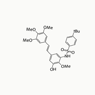 COc1cc(C=Cc2cc(O)c(OC)c(NS(=O)(=O)c3ccc(C(C)(C)C)cc3)c2)cc(OC)c1OC